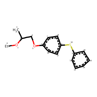 CCOC(C)COc1ccc(Sc2ccccc2)cc1